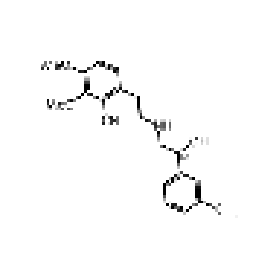 COc1ccc(CCNC[C@@H](O)c2cccc(C)c2)c(C#N)c1OC